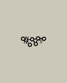 c1ccc(-c2nc3ccccc3nc2-c2ccc3c(c2)c2ccccc2c2c3ccc3c4ccccc4sc32)cc1